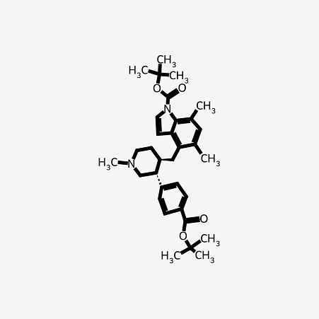 Cc1cc(C)c2c(ccn2C(=O)OC(C)(C)C)c1C[C@@H]1CCN(C)C[C@H]1c1ccc(C(=O)OC(C)(C)C)cc1